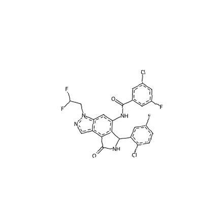 O=C(Nc1cc2c(cnn2CC(F)F)c2c1C(c1cc(F)ccc1Cl)NC2=O)c1cc(F)cc(Cl)c1